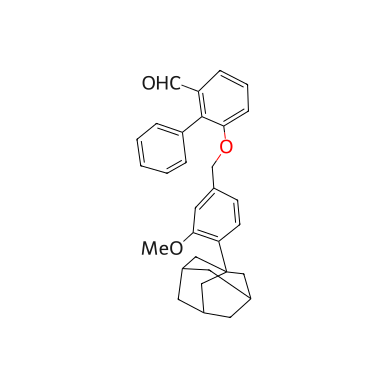 COc1cc(COc2cccc(C=O)c2-c2ccccc2)ccc1C12CC3CC(CC(C3)C1)C2